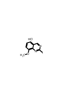 COc1cccc2cnc(I)nc12.Cl